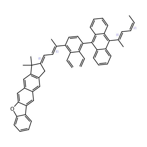 C=Cc1c(/C(C)=C/C=C2\Cc3cc4cc5c(cc4cc3C2(C)C)oc2ccccc25)ccc(-c2c3ccccc3c(/C(C)=C/C=C\C)c3ccccc23)c1C=C